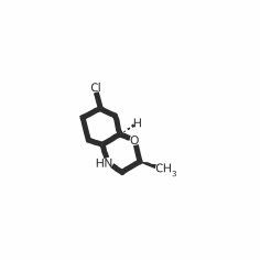 C[C@H]1CNC2CCC(Cl)C[C@H]2O1